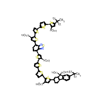 CCCCCCCCc1cc(-c2ccc3c(c2)C(CCCCCCCC)(CCCCCCCC)c2cc(C(C)(CC)CC)ccc2-3)sc1-c1ccc(-c2ccc(-c3sc(-c4ccc(-c5cc(CCCCCCCC)c(-c6ccc(-c7ccc(-c8sc(C(C)(CC)CC)cc8CCCCCCCC)s7)s6)s5)c5nsnc45)cc3CCCCCCCC)s2)s1